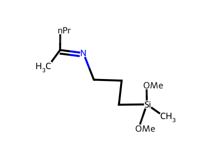 CCCC(C)=NCCC[Si](C)(OC)OC